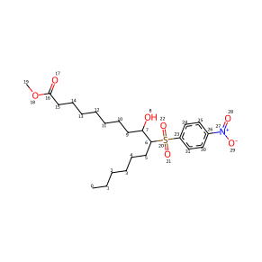 CCCCCCC(C(O)CCCCCCCC(=O)OC)S(=O)(=O)c1ccc([N+](=O)[O-])cc1